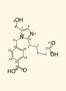 CCCCc1ncc(CO)n1Cc1ccc(C(=O)O)cc1.O=CO